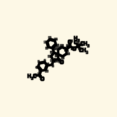 CC(=O)c1cccc(CN2CC(c3ccccc3)C3(CCN(C(=O)OC(C)(C)C)CC3)C2=O)c1